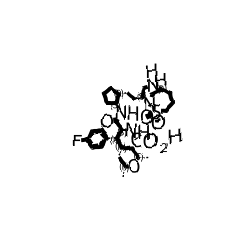 C[C@@H]1C[C@H]([C@H](c2ccc(F)cc2)[C@H](NC(=O)O)C(=O)N[C@H]2CCC[C@@H]2CC[C@H]2CN[C@@H]3CCCS(=O)(=O)N2C3)C[C@H](C)O1